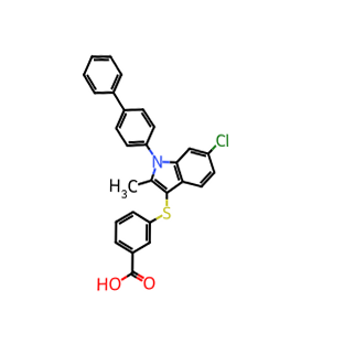 Cc1c(Sc2cccc(C(=O)O)c2)c2ccc(Cl)cc2n1-c1ccc(-c2ccccc2)cc1